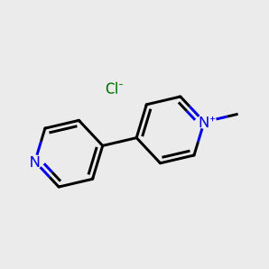 C[n+]1ccc(-c2ccncc2)cc1.[Cl-]